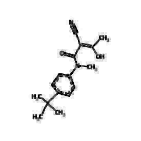 CC(O)=C(C#N)C(=O)N(C)c1ccc(C(C)(C)C)cc1